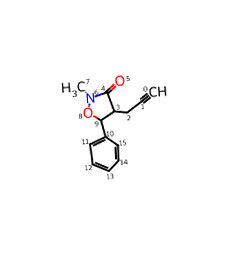 C#CCC1C(=O)N(C)OC1c1ccccc1